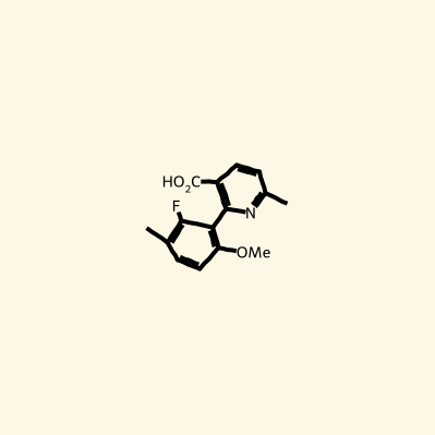 COc1ccc(C)c(F)c1-c1nc(C)ccc1C(=O)O